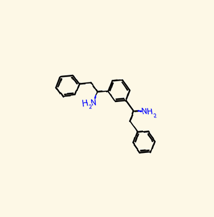 NC(Cc1ccccc1)c1cccc(C(N)Cc2ccccc2)c1